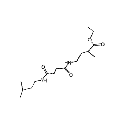 CCOC(=O)C(C)CCNC(=O)CCC(=O)NCCC(C)C